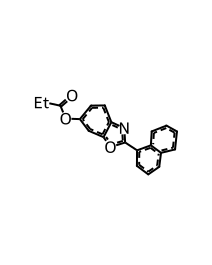 CCC(=O)Oc1ccc2nc(-c3cccc4ccccc34)oc2c1